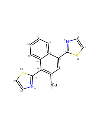 CC(C)(C)c1cc(-c2nccs2)c2ccccc2c1-c1nccs1